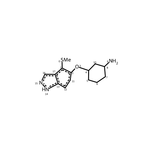 CSc1c(OC2CCCC(N)C2)ccc2[nH]ncc12